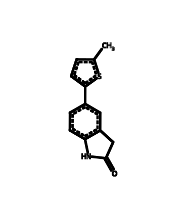 Cc1ccc(-c2ccc3c(c2)CC(=O)N3)s1